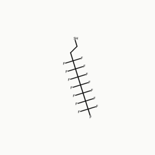 FC(F)(F)C(F)(F)C(F)(F)C(F)(F)C(F)(F)C(F)(F)C(F)(F)CCS